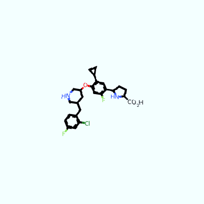 O=C(O)C1CCC(c2cc(C3CC3)c(OC3CNCC(Cc4ccc(F)cc4Cl)C3)cc2F)N1